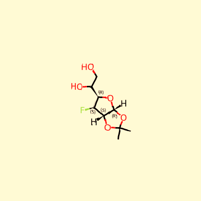 CC1(C)O[C@H]2O[C@H](C(O)CO)[C@H](F)[C@H]2O1